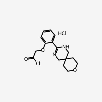 Cl.O=C(Cl)COc1ccccc1C1=NCC2(CCOCC2)CN1